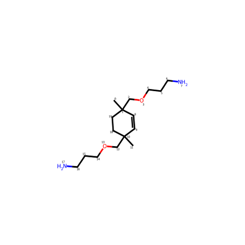 CC1(COCCCN)C=CC(C)(COCCCN)CC1